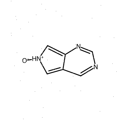 [O-][NH+]1C=c2cncnc2=C1